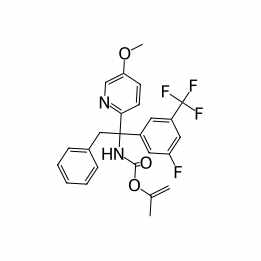 C=C(C)OC(=O)NC(Cc1ccccc1)(c1cc(F)cc(C(F)(F)F)c1)c1ccc(OC)cn1